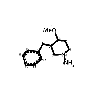 COC1CCN(N)CC1Cc1ccccc1